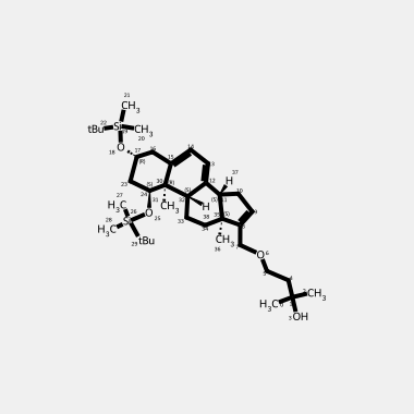 CC(C)(O)CCOCC1=CC[C@H]2C3=CC=C4C[C@@H](O[Si](C)(C)C(C)(C)C)C[C@H](O[Si](C)(C)C(C)(C)C)[C@]4(C)[C@H]3CC[C@]12C